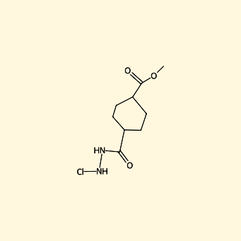 COC(=O)C1CCC(C(=O)NNCl)CC1